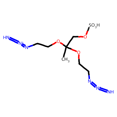 CC(COS(=O)(=O)O)(OCCN=[N+]=N)OCCN=[N+]=N